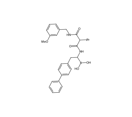 COc1cccc(CNC(=O)C(C(=O)NC(Cc2ccc(-c3ccccc3)cc2)B(O)O)C(C)C)c1